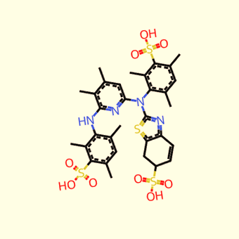 Cc1cc(N(c2nc3c(s2)CC(S(=O)(=O)O)C=C3)c2c(C)cc(C)c(S(=O)(=O)O)c2C)nc(Nc2c(C)cc(C)c(S(=O)(=O)O)c2C)c1C